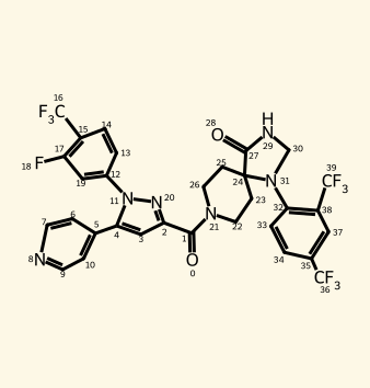 O=C(c1cc(-c2ccncc2)n(-c2ccc(C(F)(F)F)c(F)c2)n1)N1CCC2(CC1)C(=O)NCN2c1ccc(C(F)(F)F)cc1C(F)(F)F